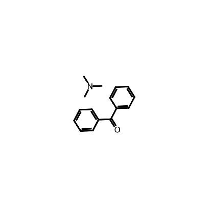 CN(C)C.O=C(c1ccccc1)c1ccccc1